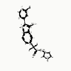 Cc1cc(-c2[nH]c3ccc(C(C)(C)C(=O)NC4CCNC4)cc3c2C(C)C)ccn1